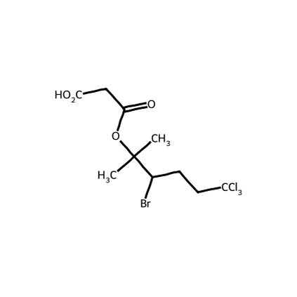 CC(C)(OC(=O)CC(=O)O)C(Br)CCC(Cl)(Cl)Cl